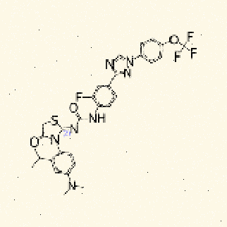 CC(C)c1cc(N(C)C)ccc1N1C(=O)CS/C1=N\C(=O)Nc1ccc(-c2ncn(-c3ccc(OC(F)(F)F)cc3)n2)cc1F